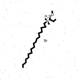 CCCCCCCCCCCCCCCCCC[N+](C)(C)C(CC)[SiH2]OC.[Br-]